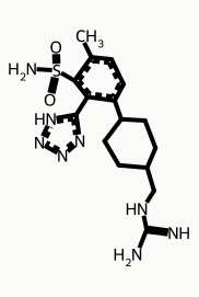 Cc1ccc(C2CCC(CNC(=N)N)CC2)c(-c2nnn[nH]2)c1S(N)(=O)=O